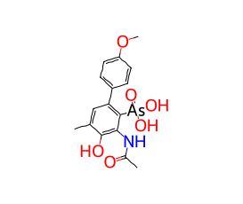 COc1ccc(-c2cc(C)c(O)c(NC(C)=O)c2[As](=O)(O)O)cc1